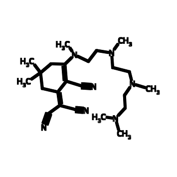 CN(C)CCN(C)CCN(C)CCN(C)C1=C(C#N)C(=C(C#N)C#N)CC(C)(C)C1